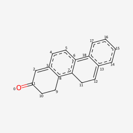 O=C1C=c2ccc3c(c2CC1)CC=c1ccccc1=3